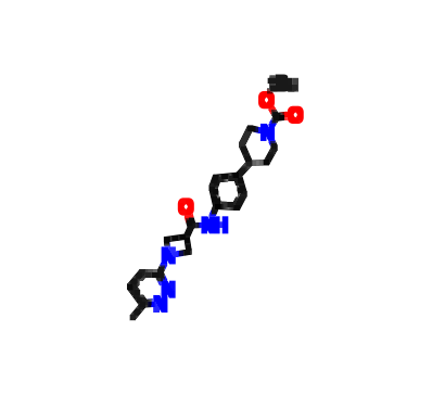 Cc1ccc(N2CC(C(=O)Nc3ccc(C4CCN(C(=O)OC(C)(C)C)CC4)cc3)C2)nn1